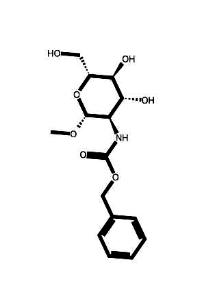 CO[C@@H]1O[C@H](CO)[C@@H](O)[C@H](O)[C@H]1NC(=O)OCc1ccccc1